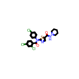 O=C(NN1CCCCC1)c1cnc(N(C(=O)c2ccc(Cl)cc2Cl)c2ccc(Cl)cc2)s1